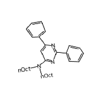 CCCCCCCCN(CCCCCCCC)c1cc(-c2ccccc2)nc(-c2ccccc2)n1